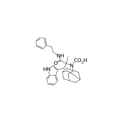 CC(Cc1c[nH]c2ccccc12)(C(=O)NCCc1ccccc1)N(C(=O)O)C12CC3CC(CC(C3)C1)C2